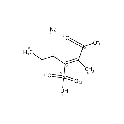 CCC/C(=C(/C)C(=O)[O-])S(=O)(=O)O.[Na+]